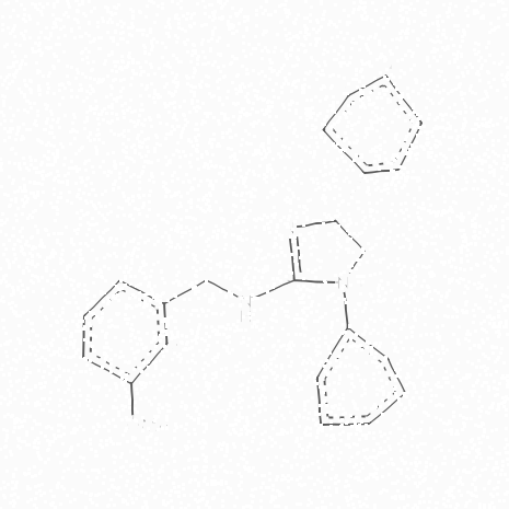 COc1cccc(CNC2=N[C@H](c3ccccc3)CN2c2ccccc2)c1